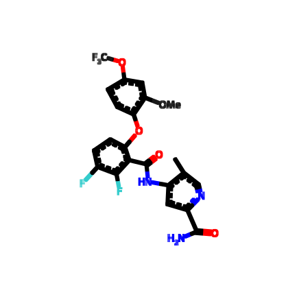 COc1cc(OC(F)(F)F)ccc1Oc1ccc(F)c(F)c1C(=O)Nc1cc(C(N)=O)ncc1C